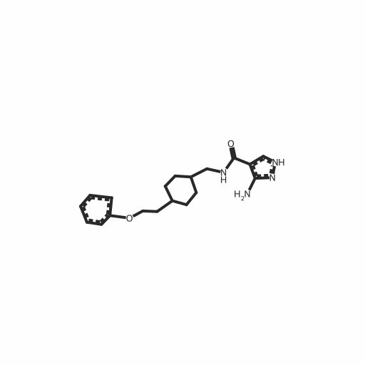 Nc1n[nH]cc1C(=O)NCC1CCC(CCOc2ccccc2)CC1